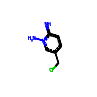 N=c1ccc(CCl)cn1N